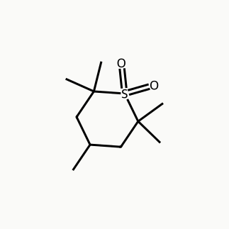 CC1CC(C)(C)S(=O)(=O)C(C)(C)C1